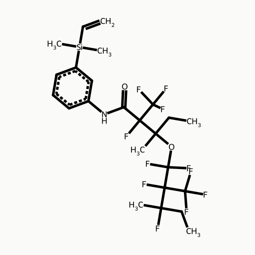 C=C[Si](C)(C)c1cccc(NC(=O)C(F)(C(F)(F)F)C(C)(CC)OC(F)(F)C(F)(C(F)(F)F)C(C)(F)CC)c1